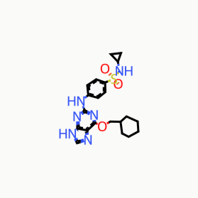 O=S(=O)(NC1CC1)c1ccc(Nc2nc(OCC3CCCCC3)c3nc[nH]c3n2)cc1